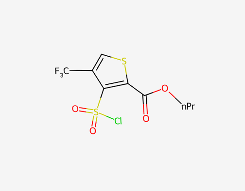 CCCOC(=O)c1scc(C(F)(F)F)c1S(=O)(=O)Cl